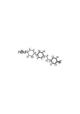 CCCCC1CCC(c2ccc(CCc3ccc(F)cc3)cc2)CC1